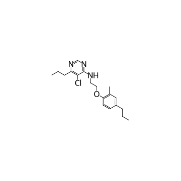 CCCc1ccc(OCCNc2ncnc(CCC)c2Cl)c(C)c1